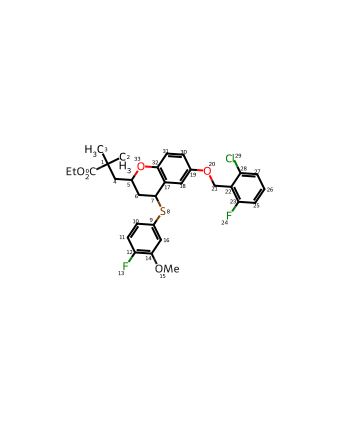 CCOC(=O)C(C)(C)CC1CC(Sc2ccc(F)c(OC)c2)c2cc(OCc3c(F)cccc3Cl)ccc2O1